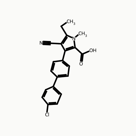 CCc1c(C#N)c(-c2ccc(-c3ccc(Cl)cc3)cc2)c(C(=O)O)n1C